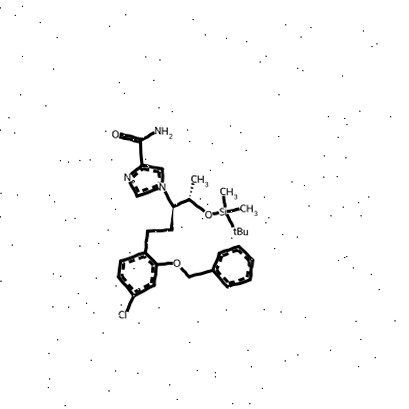 C[C@H](O[Si](C)(C)C(C)(C)C)[C@@H](CCc1ccc(Cl)cc1OCc1ccccc1)n1cnc(C(N)=O)c1